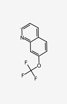 FC(F)(F)Oc1ccc2cc[c]nc2c1